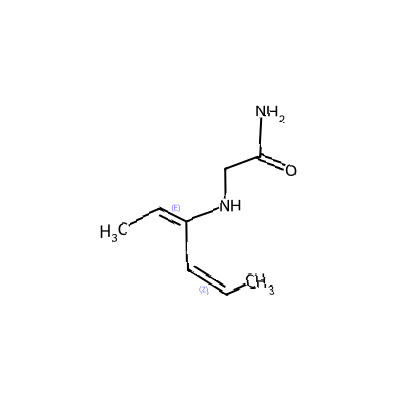 C/C=C\C(=C/C)NCC(N)=O